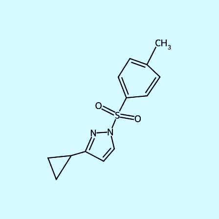 Cc1ccc(S(=O)(=O)n2ccc(C3CC3)n2)cc1